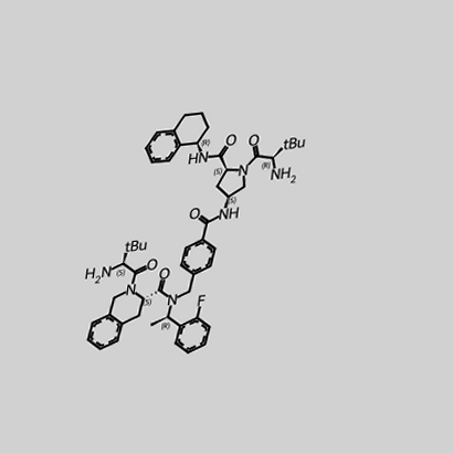 C[C@H](c1ccccc1F)N(Cc1ccc(C(=O)N[C@H]2C[C@@H](C(=O)N[C@@H]3CCCc4ccccc43)N(C(=O)[C@H](N)C(C)(C)C)C2)cc1)C(=O)[C@@H]1Cc2ccccc2CN1C(=O)[C@@H](N)C(C)(C)C